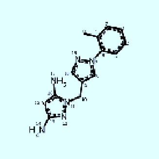 Cc1ccccc1-n1cc(Cn2nc(N)nc2N)cn1